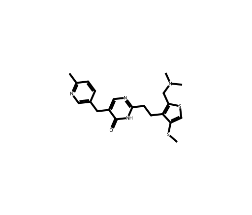 CSc1csc(CN(C)C)c1CCc1ncc(Cc2ccc(C)nc2)c(=O)[nH]1